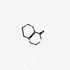 O=C1NCCC2=C1CCCC2